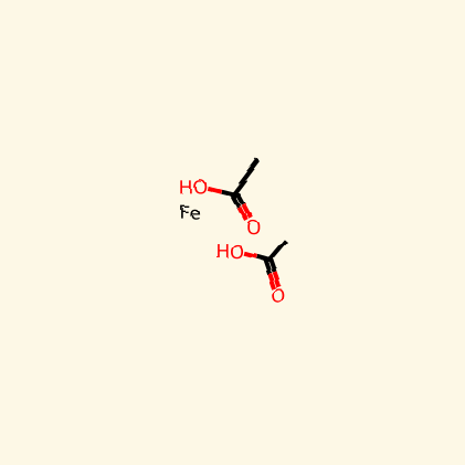 CC(=O)O.CC(=O)O.[Fe]